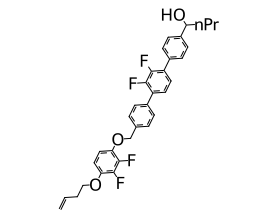 C=CCCOc1ccc(OCc2ccc(-c3ccc(-c4ccc(C(O)CCC)cc4)c(F)c3F)cc2)c(F)c1F